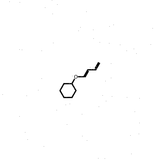 C=CC=COC1CCCCC1